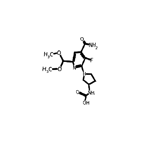 COC(OC)c1cc(C(N)=O)c(F)c(N2CCC(NC(=O)O)C2)n1